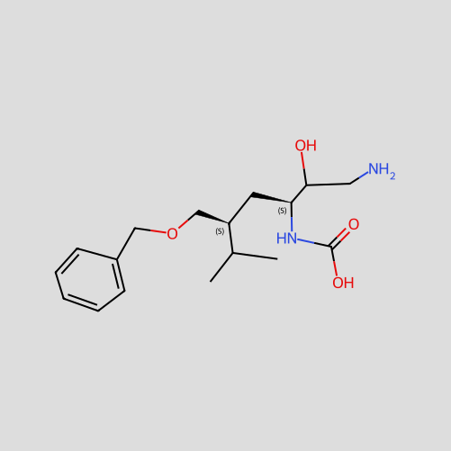 CC(C)[C@@H](COCc1ccccc1)C[C@H](NC(=O)O)C(O)CN